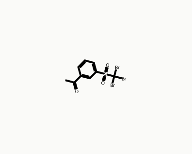 CC(=O)c1cccc(S(=O)(=O)C(Br)(Br)Br)c1